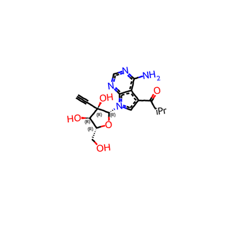 C#C[C@@]1(O)[C@H](O)[C@@H](CO)O[C@H]1n1cc(C(=O)C(C)C)c2c(N)ncnc21